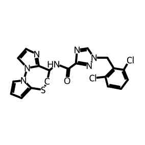 O=C(NC1CSc2cccn2-n2ccnc21)c1ncn(Cc2c(Cl)cccc2Cl)n1